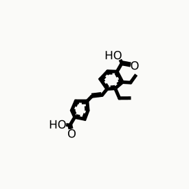 CCc1c(C=Cc2ccc(C(=O)O)cc2)ccc(C(=O)O)c1CC